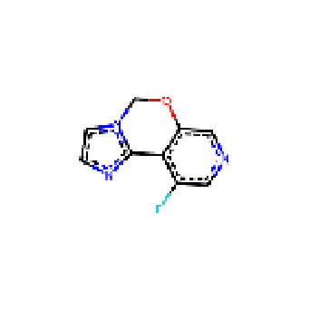 Fc1cncc2c1-c1nccn1CO2